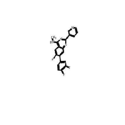 CNc1nc(-c2cccnc2)nc2cc(-c3ccc(F)c(F)c3)c(F)cc12